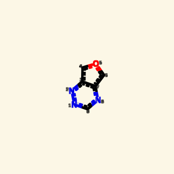 c1nnc2cocc2n1